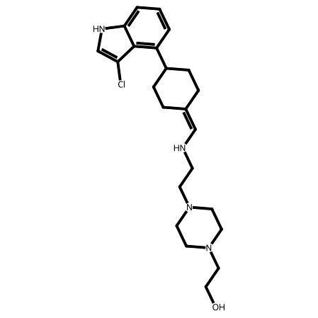 OCCN1CCN(CCNC=C2CCC(c3cccc4[nH]cc(Cl)c34)CC2)CC1